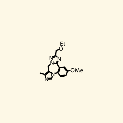 CCOCc1nc2n(n1)Cc1c(C)ncn1-c1ccc(OC)cc1-2